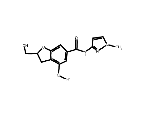 CC(C)Oc1cc(C(=O)Nc2ccn(C)n2)cc2c1CC(CO)O2